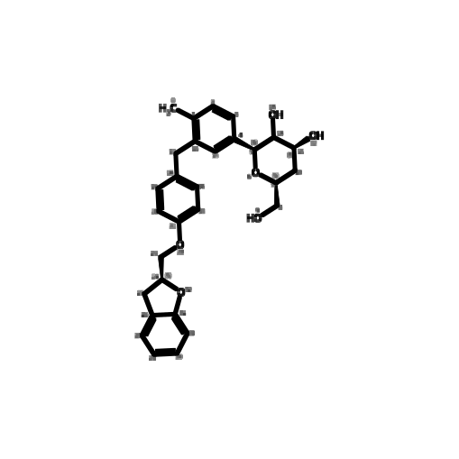 Cc1ccc([C@@H]2O[C@H](CO)C[C@H](O)C2O)cc1Cc1ccc(OC[C@@H]2Cc3ccccc3O2)cc1